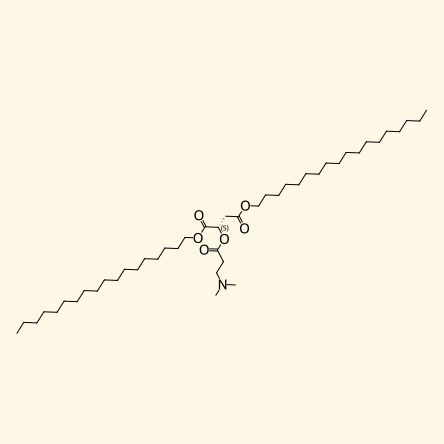 CCCCCCCCCCCCCCCCCCOC(=O)C[C@H](OC(=O)CCN(C)C)C(=O)OCCCCCCCCCCCCCCCCCC